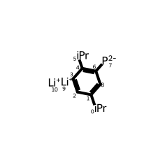 CC(C)c1ccc(C(C)C)c([P-2])c1.[Li+].[Li+]